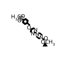 CC1(OC(=O)N2CCN(c3ncc(OCc4ccc(S(C)(=O)=O)cc4)cn3)CC2)CC1